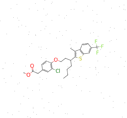 CCCCC(CCOc1ccc(CC(=O)OC)cc1Cl)c1sc2cc(C(F)(F)F)ccc2c1C